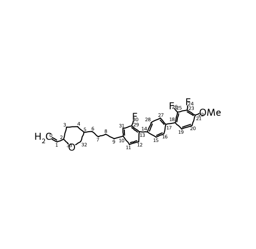 C=CC1CCC(CCCCc2ccc(-c3ccc(-c4ccc(OC)c(F)c4F)cc3)c(F)c2)CO1